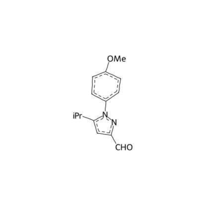 COc1ccc(-n2nc(C=O)cc2C(C)C)cc1